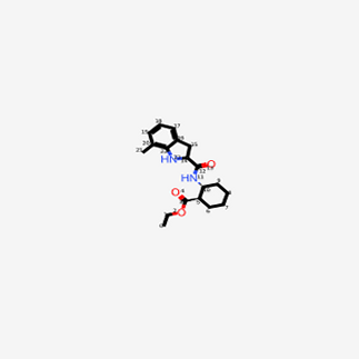 CCOC(=O)[C@@H]1CCCC[C@H]1NC(=O)C1Cc2cccc(C)c2N1